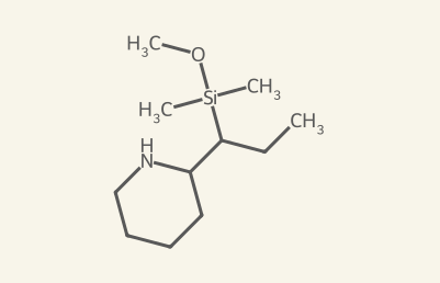 CCC(C1CCCCN1)[Si](C)(C)OC